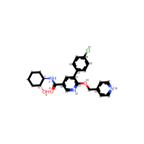 O=C(N[C@@H]1CCCC[C@H]1O)c1cnc(OCc2ccncc2)c(-c2ccc(Cl)cc2)c1